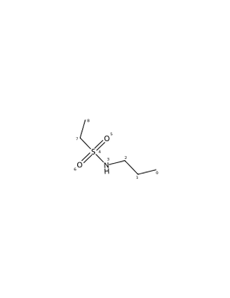 CCCNS(=O)(=O)CC